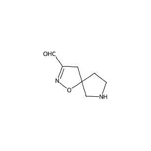 O=CC1=NOC2(CCNC2)C1